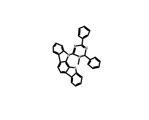 CN1C(n2c3ccccc3c3ccc4c5ccccc5sc4c32)=NC(c2ccccc2)=NC1c1ccccc1